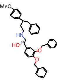 COc1ccc(C(CCNC[C@@H](O)c2ccc(OCc3ccccc3)c(OCc3ccccc3)c2)Cc2ccccc2)cc1